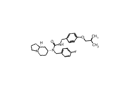 CC(C)COc1ccc(CNC(=O)N(Cc2ccc(F)cc2)[C@@H]2CCN3CCC[C@H]3C2)cc1